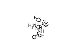 Nc1cc(-c2c(-c3ccc(F)cc3)nc3sccn23)nc(NC[C@H](O)c2ccccc2)n1